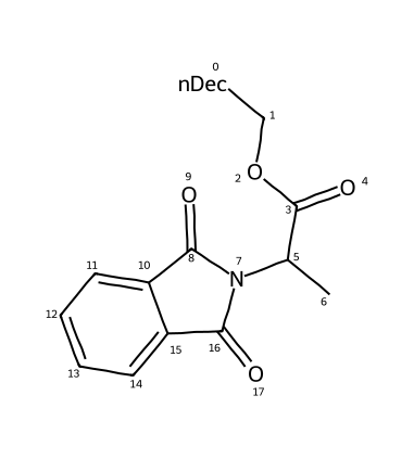 CCCCCCCCCCCOC(=O)C(C)N1C(=O)c2ccccc2C1=O